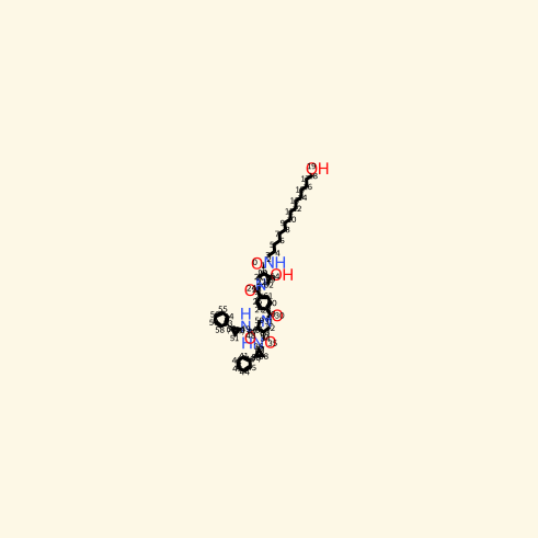 O=C(NCCCCCCCCCCCCCCCCO)[C@H]1CN(C(=O)c2ccc(C(=O)N3C[C@@H](C(=O)N[C@H]4C[C@@H]4c4ccccc4)[C@H](C(=O)N[C@H]4C[C@@H]4c4ccccc4)C3)cc2)C[C@@H]1O